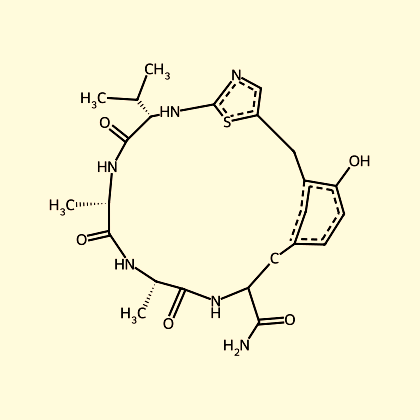 CC(C)[C@@H]1Nc2ncc(s2)Cc2cc(ccc2O)CC(C(N)=O)NC(=O)[C@H](C)NC(=O)[C@H](C)NC1=O